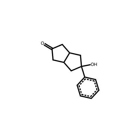 O=C1CC2CC(O)(c3ccccc3)CC2C1